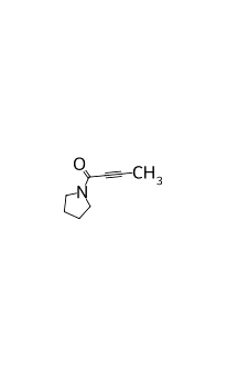 CC#CC(=O)N1CCCC1